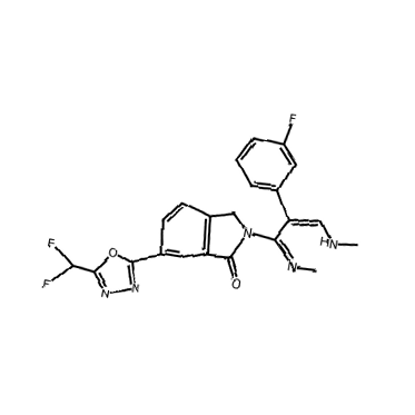 C/N=C(\C(=C/NC)c1cccc(F)c1)N1Cc2ccc(-c3nnc(C(F)F)o3)cc2C1=O